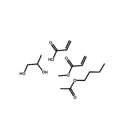 C=CC(=O)O.C=CC(=O)OC.CC(O)CO.CCCCOC(C)=O